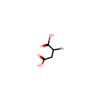 [2H]C(CC(=O)O)C(=O)O